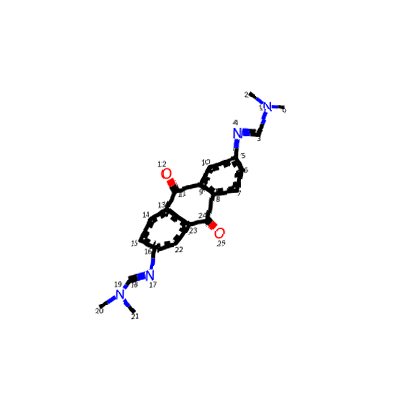 CN(C)C=Nc1ccc2c(c1)C(=O)c1ccc(N=CN(C)C)cc1C2=O